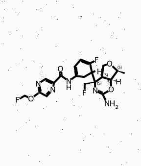 C[C@@H]1OC[C@H]2[C@@H]1OC(N)=N[C@]2(CF)C1(C)CC(NC(=O)c2cnc(OCF)cn2)=CC=C1F